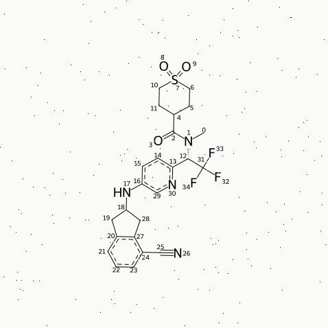 CN(C(=O)C1CCS(=O)(=O)CC1)[C@@H](c1ccc(NC2Cc3cccc(C#N)c3C2)cn1)C(F)(F)F